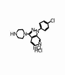 Cl.Cl.Clc1ccc(-n2nc(N3CCNCC3)c3ccncc32)cc1